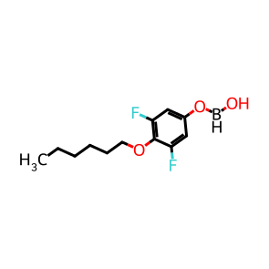 CCCCCCOc1c(F)cc(OBO)cc1F